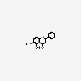 Nc1ccc2oc(-c3ccccc3)cc(=O)c2c1O